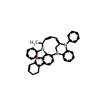 CC1/C=C\C=C2/CB(c3ccccc3N2c2ccccc2)c2ccc3c4c(sc3c2N1c1ccccc1)C=CCC4